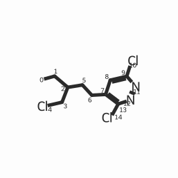 CCC(CCl)CCc1cc(Cl)nnc1Cl